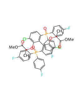 COC(=O)C(C)Oc1c(Cl)ccc(P(=O)(c2ccc(F)cc2)c2ccc(F)cc2)c1-c1c(P(=O)(c2ccc(F)cc2)c2ccc(F)cc2)ccc(Cl)c1OC(C)C(=O)OC